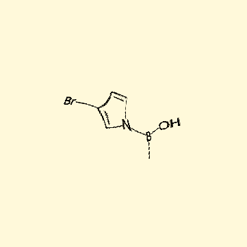 CB(O)n1ccc(Br)c1